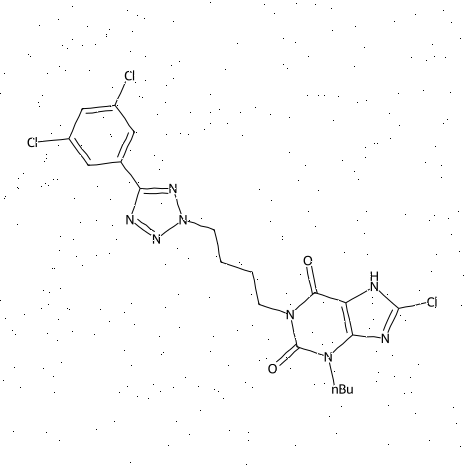 CCCCn1c(=O)n(CCCCn2nnc(-c3cc(Cl)cc(Cl)c3)n2)c(=O)c2[nH]c(Cl)nc21